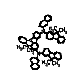 CC1(C)c2ccccc2-c2ccc(N(C3=Cc4ccccc4CC3)c3cc4c5c(c3)c3cc(N(c6ccc7c(c6)C(C)(C)c6ccccc6-7)c6ccc7ccccc7c6)ccc3n5-c3ccccc3C4(C)C)cc21